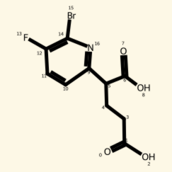 O=C(O)CCC(C(=O)O)c1ccc(F)c(Br)n1